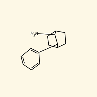 NC1C2CCC(CC2)C1c1ccccc1